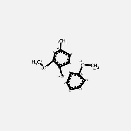 COc1cc(C)ccc1Br.COc1ccccc1